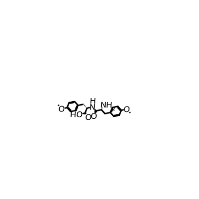 COc1ccc(C[C@@H](N)C(=O)N[C@@H](Cc2ccc(OC)cc2)C(=O)O)cc1